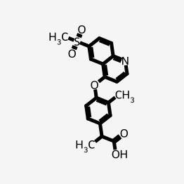 Cc1cc(C(C)C(=O)O)ccc1Oc1ccnc2ccc(S(C)(=O)=O)cc12